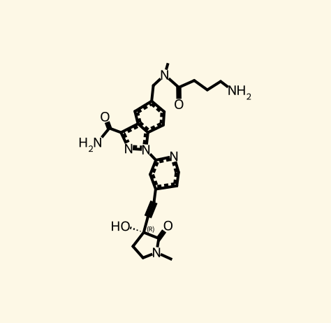 CN(Cc1ccc2c(c1)c(C(N)=O)nn2-c1cc(C#C[C@]2(O)CCN(C)C2=O)ccn1)C(=O)CCCN